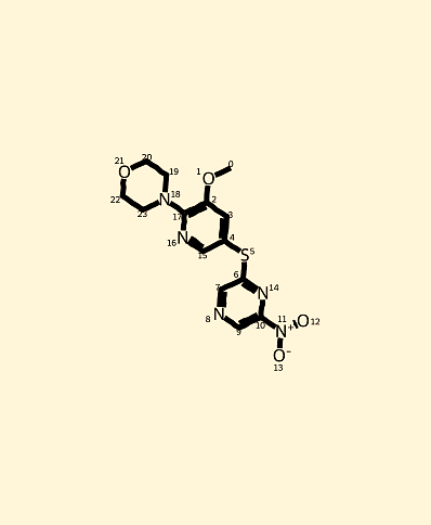 COc1cc(Sc2cncc([N+](=O)[O-])n2)cnc1N1CCOCC1